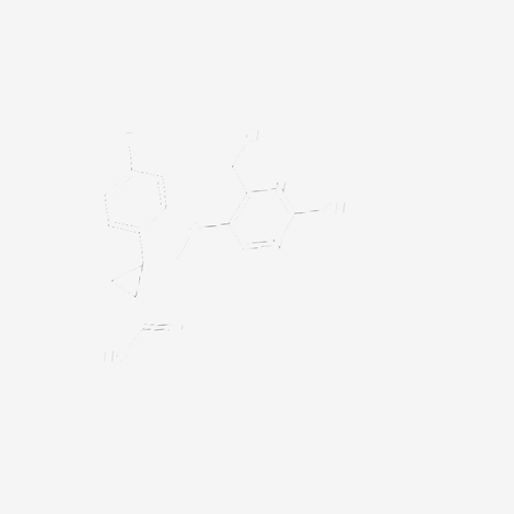 CCc1nc(C)ncc1OC[C@@]1(c2ccc(F)cc2)C[C@H]1C(=O)O